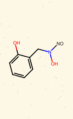 O=NN(O)Cc1ccccc1O